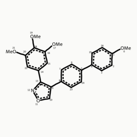 COc1ccc(-c2ccc(-c3conc3-c3cc(OC)c(OC)c(OC)c3)cc2)cc1